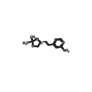 CC1(C)OC[C@@H](CCc2cc(N)ncn2)O1